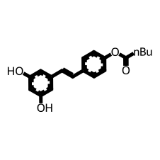 CCCCC(=O)Oc1ccc(C=Cc2cc(O)cc(O)c2)cc1